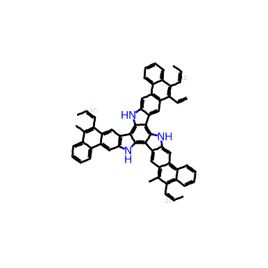 C=Cc1c(/C=C\C)c2ccccc2c2cc3[nH]c4c(c3cc12)c1[nH]c2cc3c(cc2c1c1[nH]c2cc5c(cc2c14)c(/C=C\C)c(C)c1ccccc15)c(C)c(/C=C\C)c1ccccc13